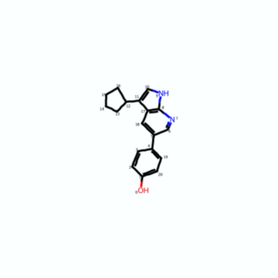 Oc1ccc(-c2cnc3[nH]cc(C4CCCC4)c3c2)cc1